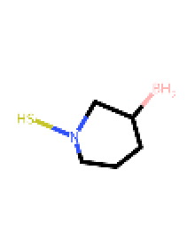 BC1CCCN(S)C1